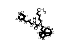 CCCCCN(CCC12CCCC3CC(CC1C3)C2)C(=O)NCCCc1ccncc1